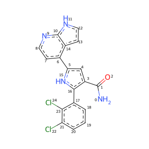 NC(=O)c1cc(-c2ccnc3[nH]ccc23)[nH]c1-c1cccc(Cl)c1Cl